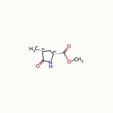 COC(=O)[C@H]1C[C@@H](C)C(=O)N1